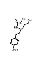 COc1ccc(CCC(CCCO)NC(=O)OC(C)(C)C)cc1